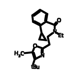 CCN(CCc1nc(C(C)(C)C)c(C)o1)C(=O)c1ccccc1C1CC1